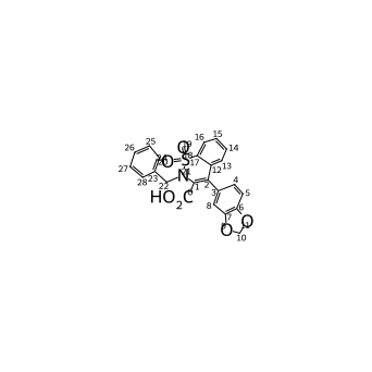 O=C(O)C1=C(c2ccc3c(c2)OCO3)c2ccccc2S(=O)(=O)N1Cc1ccccc1